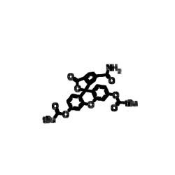 CC(C)(C)C(=O)Oc1ccc2c(c1)Oc1cc(OC(=O)C(C)(C)C)ccc1C21OC(=O)c2ccc(C(N)=O)cc21